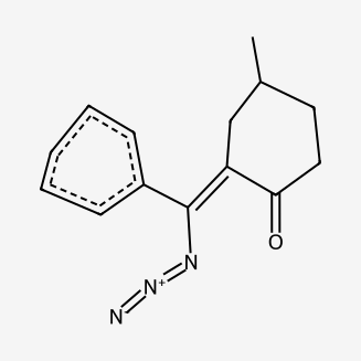 CC1CCC(=O)C(=C(N=[N+]=[N-])c2ccccc2)C1